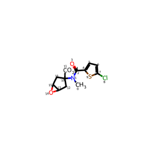 CN(C(=O)c1ccc(Cl)s1)C1(C(=O)O)CC2OC2C1